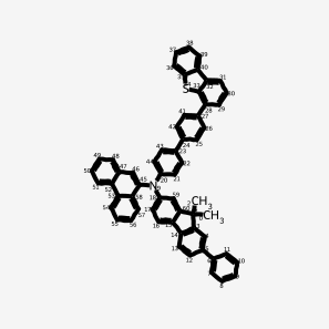 CC1(C)c2cc(-c3ccccc3)ccc2-c2ccc(N(c3ccc(-c4ccc(-c5cccc6c5sc5ccccc56)cc4)cc3)c3cc4ccccc4c4ccccc34)cc21